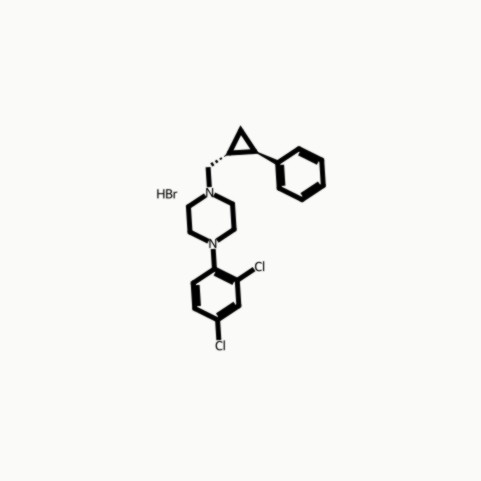 Br.Clc1ccc(N2CCN(C[C@@H]3C[C@H]3c3ccccc3)CC2)c(Cl)c1